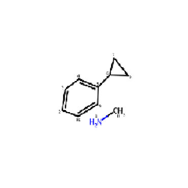 CN.c1ccc(C2CC2)cc1